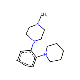 CN1CCN(c2c[c]ccc2N2CCCCC2)CC1